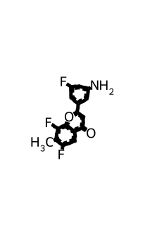 Cc1c(F)cc2c(=O)cc(-c3cc(N)cc(F)c3)oc2c1F